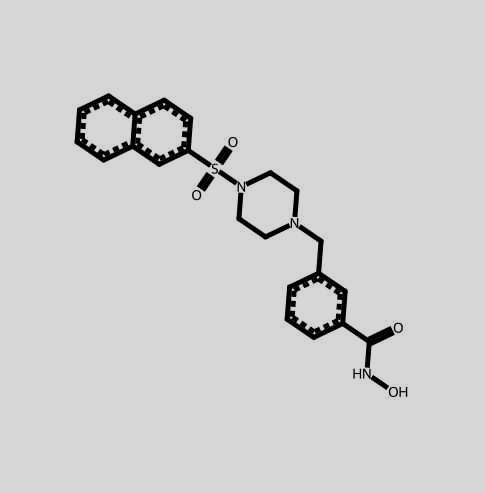 O=C(NO)c1cccc(CN2CCN(S(=O)(=O)c3ccc4ccccc4c3)CC2)c1